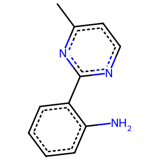 Cc1ccnc(-c2ccccc2N)n1